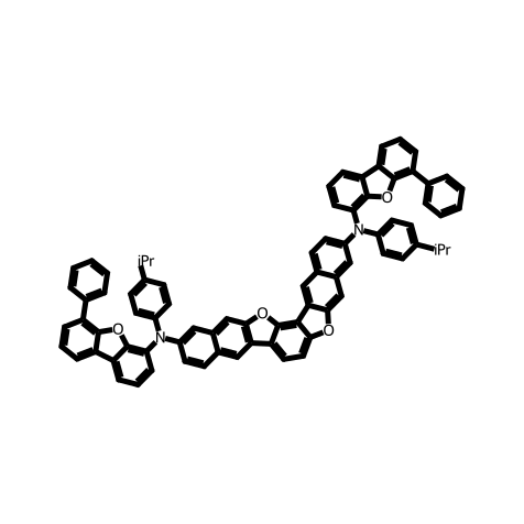 CC(C)c1ccc(N(c2ccc3cc4c(cc3c2)oc2c4ccc3oc4cc5cc(N(c6ccc(C(C)C)cc6)c6cccc7c6oc6c(-c8ccccc8)cccc67)ccc5cc4c32)c2cccc3c2oc2c(-c4ccccc4)cccc23)cc1